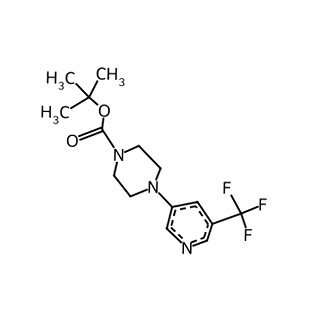 CC(C)(C)OC(=O)N1CCN(c2cncc(C(F)(F)F)c2)CC1